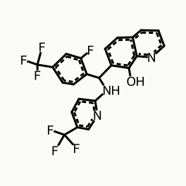 Oc1c(C(Nc2ccc(C(F)(F)F)cn2)c2ccc(C(F)(F)F)cc2F)ccc2cccnc12